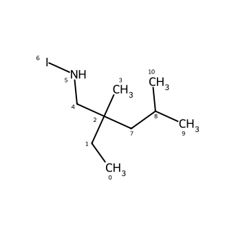 CCC(C)(CNI)CC(C)C